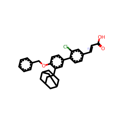 O=C(O)/C=C/c1ccc(-c2ccc(OCc3ccccc3)c(C34CC5CC(CC(C5)C3)C4)c2)c(Cl)c1